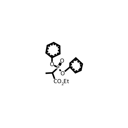 CCOC(=O)C(C)P(=O)(Oc1ccccc1)Oc1ccccc1